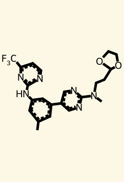 Cc1cc(Nc2nccc(C(F)(F)F)n2)cc(-c2cnc(N(C)CCC3OCCO3)nc2)c1